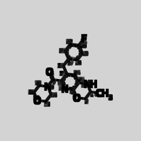 CC1COc2nc(C(=O)N3CCOCC3)c(Cc3ccc(F)cc3)cc2N1